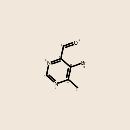 Cc1ncnc(C=O)c1Br